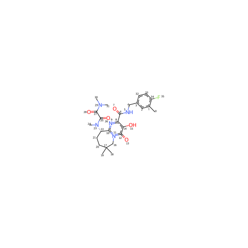 Cc1cc(CNC(=O)c2nc3n(c(=O)c2O)CC(C)(C)CC[C@@H]3N(C)C(=O)C(=O)N(C)C)ccc1F